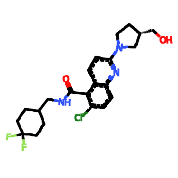 O=C(NCC1CCC(F)(F)CC1)c1c(Cl)ccc2nc(N3CC[C@H](CO)C3)ccc12